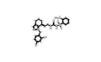 COc1ccccc1S(=O)(=O)NC(=O)NCC=C1CCCc2cnn(Cc3ccc(Cl)cc3Cl)c21